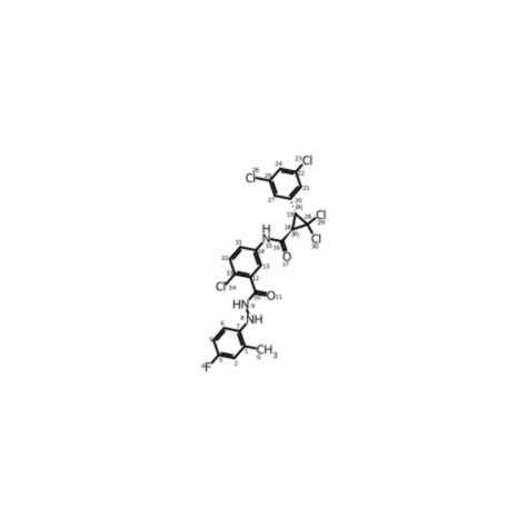 Cc1cc(F)ccc1NNC(=O)c1cc(NC(=O)[C@H]2[C@H](c3cc(Cl)cc(Cl)c3)C2(Cl)Cl)ccc1Cl